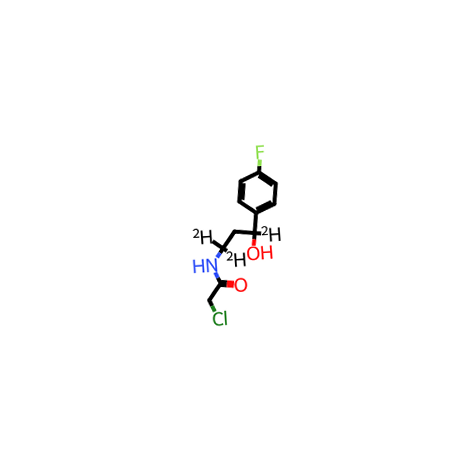 [2H]C([2H])(CC([2H])(O)c1ccc(F)cc1)NC(=O)CCl